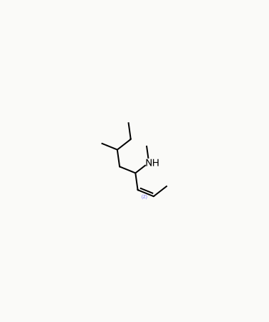 C/C=C\C(CC(C)CC)NC